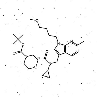 COCCCCn1cc(CN(C(=O)[C@H]2CN(C(=O)OC(C)(C)C)CCO2)C2CC2)c2ccc(C)nc21